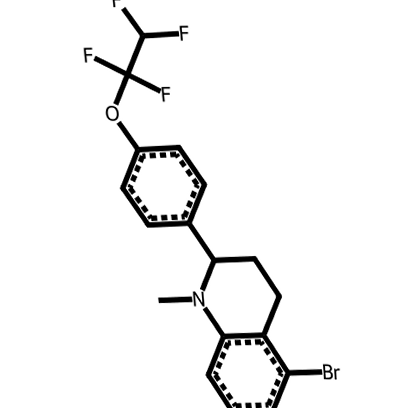 CN1c2cccc(Br)c2CCC1c1ccc(OC(F)(F)C(F)F)cc1